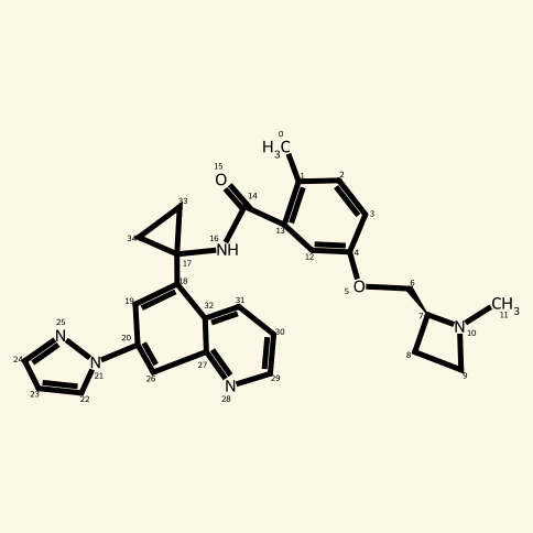 Cc1ccc(OC[C@@H]2CCN2C)cc1C(=O)NC1(c2cc(-n3cccn3)cc3ncccc23)CC1